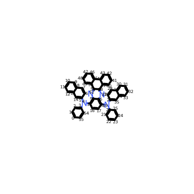 c1ccc(N(c2ccc3ccccc3c2)c2ccc(N(c3ccccc3)c3ccc4ccccc4c3)c3nc4c5ccccc5c5ccccc5c4nc23)cc1